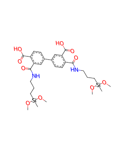 CO[Si](C)(CCCNC(=O)c1ccc(-c2ccc(C(=O)O)c(C(=O)NCCC[Si](C)(OC)OC)c2)cc1C(=O)O)OC